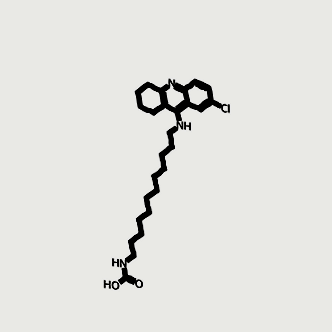 O=C(O)NCCCCCCCCCCCCNc1c2c(nc3ccc(Cl)cc13)CCCC2